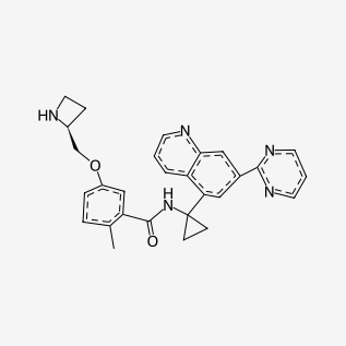 Cc1ccc(OC[C@@H]2CCN2)cc1C(=O)NC1(c2cc(-c3ncccn3)cc3ncccc23)CC1